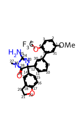 COc1ccc(OC(F)(F)F)c(-c2cccc(C3(c4ccc5c(c4)CCO5)N=C(N)N(C)C3=O)c2)c1